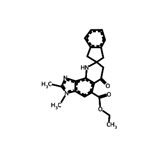 CCOC(=O)c1cc2c(nc(C)n2C)c2c1C(=O)CC1(Cc3ccccc3C1)N2